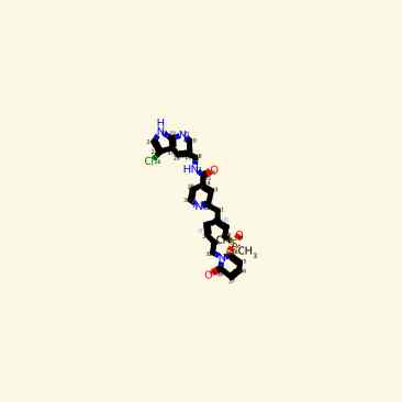 C=C(/C=C\C(=C/CS(C)(=O)=O)Cc1cc(C(=O)NCc2cnc3[nH]cc(Cl)c3c2)ccn1)Cn1ccccc1=O